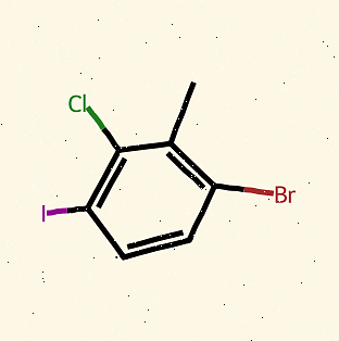 Cc1c(Br)c[c]c(I)c1Cl